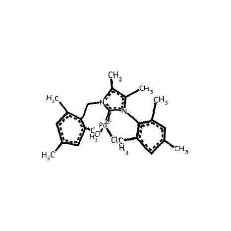 Cc1cc(C)c(Cn2c(C)c(C)n(-c3c(C)cc(C)cc3C)[c]2=[Pd-2]([Cl])[Cl])c(C)c1